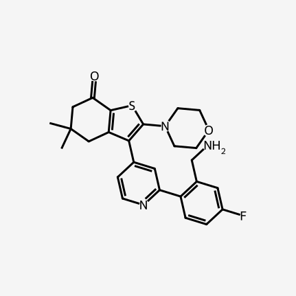 CC1(C)CC(=O)c2sc(N3CCOCC3)c(-c3ccnc(-c4ccc(F)cc4CN)c3)c2C1